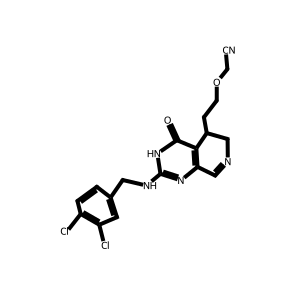 N#CCOCCC1CN=Cc2nc(NCc3ccc(Cl)c(Cl)c3)[nH]c(=O)c21